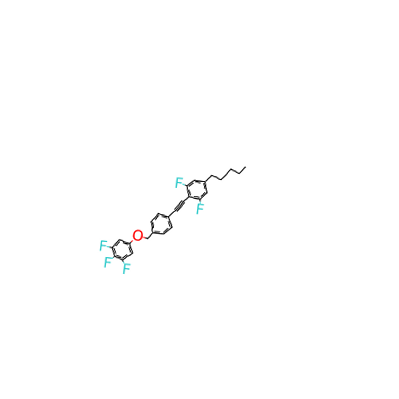 CCCCCc1cc(F)c(C#Cc2ccc(COc3cc(F)c(F)c(F)c3)cc2)c(F)c1